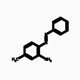 Cc1ccc(/N=N/c2ccccc2)c(N)c1